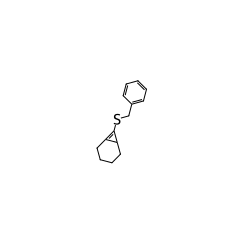 c1ccc(CSC2=C3CCCCC32)cc1